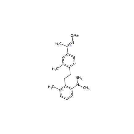 CO/N=C(\C)c1ccc(CCc2c(C)cccc2N(C)N)c(C)c1